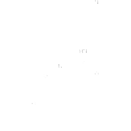 O=C(NCc1ccncc1)c1cc(-c2ccco2)on1